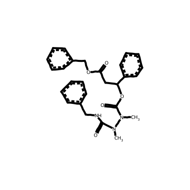 CN(C(=O)NCc1ccccc1)N(C)C(=O)OC(CC(=O)OCc1ccccc1)c1ccccc1